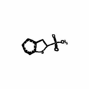 CS(=O)(=O)C1Cc2ccccc2S1